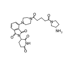 N[C@H]1CCN(C(=O)CCCC(=O)N2CCN(c3cccc4c3C(=O)N(C3CCC(=O)NC3=O)C4=O)CC2)C1